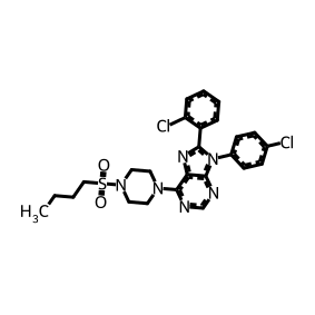 CCCCS(=O)(=O)N1CCN(c2ncnc3c2nc(-c2ccccc2Cl)n3-c2ccc(Cl)cc2)CC1